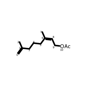 C=C(C)CCCC(C)=CCOC(C)=O